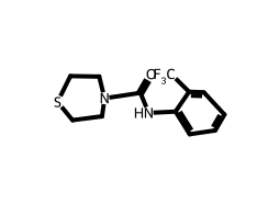 O=C(Nc1ccccc1C(F)(F)F)N1CCSCC1